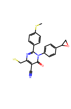 CSc1ccc(-c2nc(CS)c(C#N)c(=O)n2-c2ccc(C3CO3)cc2)cc1